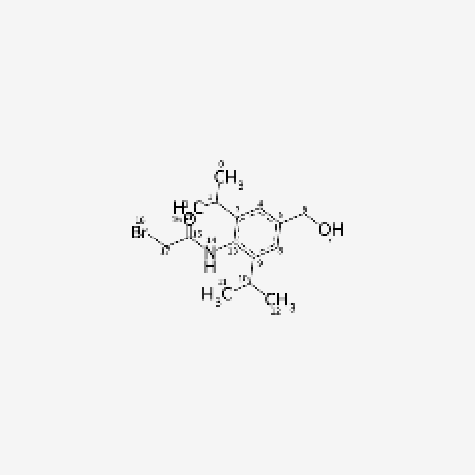 CC(C)c1cc(CO)cc(C(C)C)c1NC(=O)CBr